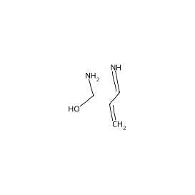 C=CC=N.NCO